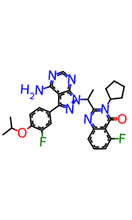 CC(C)Oc1ccc(-c2nn(C(C)c3nc4cccc(F)c4c(=O)n3C3CCCC3)c3ncnc(N)c23)cc1F